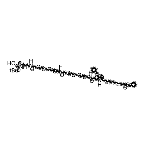 CC(C)(C)OC(=O)N[C@@H](CCCCNC(=O)CCOCCOCCOCCOCCNC(=O)CCOCCOCCOCCOCCNC(=O)CC[C@H](NC(=O)CCCCCCCCCCCCC(=O)OCc1ccccc1)C(=O)OCc1ccccc1)C(=O)O